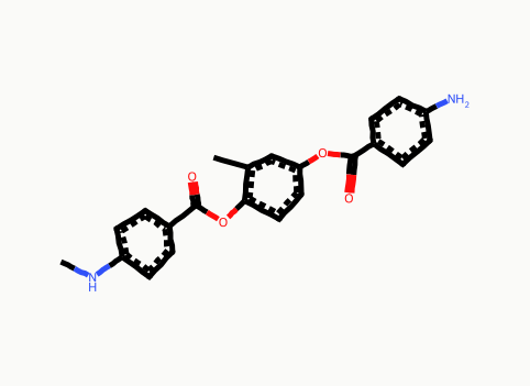 CNc1ccc(C(=O)Oc2ccc(OC(=O)c3ccc(N)cc3)cc2C)cc1